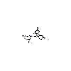 C=C/C=C(\C=C(C)C)C1Cc2cc(C)cc3c4c(n(c23)C1)CCN(C)C4